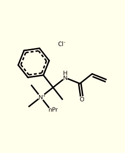 C=CC(=O)NC(C)(c1ccccc1)[N+](C)(C)CCC.[Cl-]